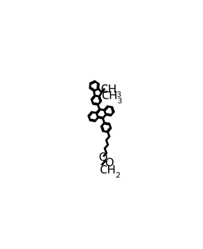 C=CC(=O)OCCCCCc1ccc(-c2c3ccccc3c(-c3ccc4c(c3)C(C)(C)c3ccccc3-4)c3ccccc23)cc1